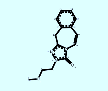 COCCn1nc2n(c1=O)C=Cc1ccccc1C2